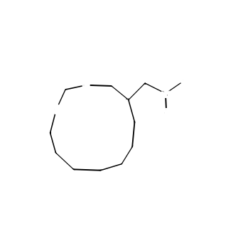 CN(C)C[C]1CCCCCCCCCCC1